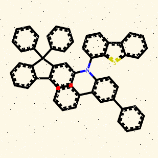 c1ccc(-c2ccc(N(c3ccc4c(c3)C(c3ccccc3)(c3ccccc3)c3ccccc3-4)c3cccc4c3sc3ccccc34)c(-c3ccccc3)c2)cc1